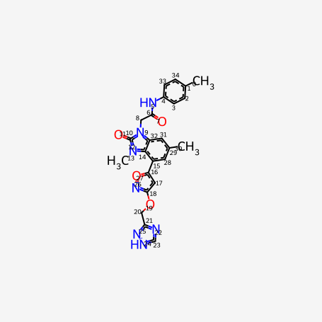 Cc1ccc(NC(=O)Cn2c(=O)n(C)c3c(-c4cc(OCc5nc[nH]n5)no4)cc(C)cc32)cc1